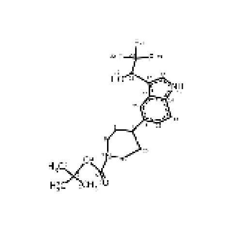 CC(C)(C)OC(=O)N1CCC(c2ccc3[nH]cc(C(O)C(F)(F)F)c3c2)CC1